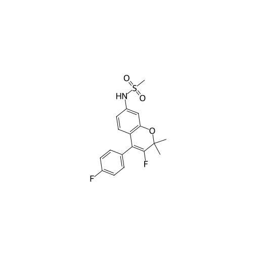 CC1(C)Oc2cc(NS(C)(=O)=O)ccc2C(c2ccc(F)cc2)=C1F